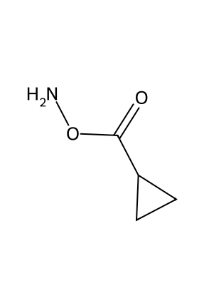 NOC(=O)C1CC1